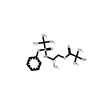 C[C@@H](COC(=O)C(C)(C)O)NP(=O)(Oc1ccccc1)C(C)(C)C